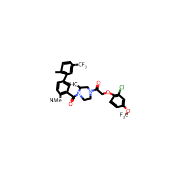 CNc1ccc(-c2cc(C(F)(F)F)ccc2C)cc1C(=O)N1CCN(C(=O)COc2ccc(OC(F)(F)F)cc2Cl)CC1C=O